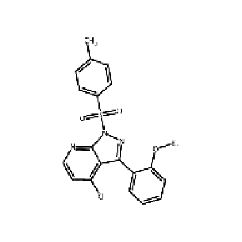 CCOc1ccccc1-c1nn(S(=O)(=O)c2ccc(C)cc2)c2nccc(Cl)c12